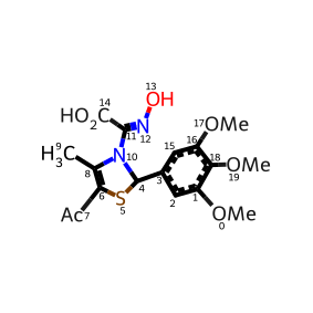 COc1cc(C2SC(C(C)=O)=C(C)N2C(=NO)C(=O)O)cc(OC)c1OC